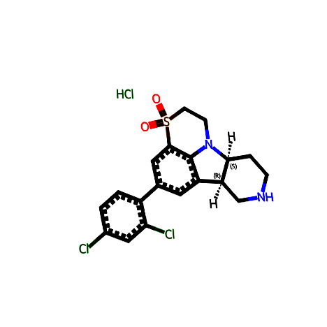 Cl.O=S1(=O)CCN2c3c(cc(-c4ccc(Cl)cc4Cl)cc31)[C@@H]1CNCC[C@@H]12